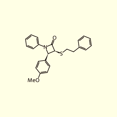 COc1ccc([C@@H]2[C@H](SCCc3ccccc3)C(=O)N2c2ccccc2)cc1